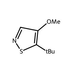 COc1cnsc1C(C)(C)C